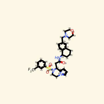 O=C(CC1c2cccn2CCN1S(=O)(=O)c1cccc(C(F)(F)F)c1)NC1CCCc2cc(CN3CCOCC3)ccc21